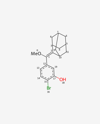 COC(=C1C2CC3CC(C2)CC1C3)c1ccc(Br)c(O)c1